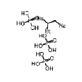 CCCCC(CC)[CH2][Na].O=P(O)(O)O.O=P(O)(O)O.O=P(O)(O)O